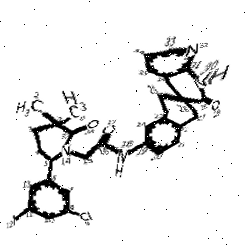 CC1(C)CCC(c2cc(Cl)cc(I)c2)N(CC(=O)Nc2ccc3c(c2)CC2(C3)C(=O)Nc3ncccc32)C1=O